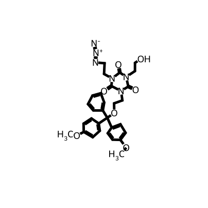 COc1ccc(C(OCCn2c(=O)n(CCO)c(=O)n(CCN=[N+]=[N-])c2=O)(c2ccccc2)c2ccc(OC)cc2)cc1